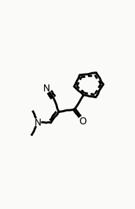 CN(C)/C=C(\C#N)C(=O)c1ccccc1